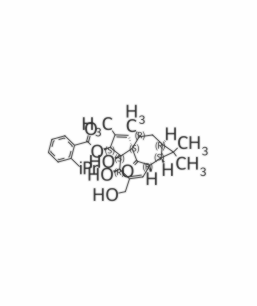 CC1=C[C@]23C(=O)[C@@H](C=C(CO)[C@@H](O)[C@]2(O)[C@H]1OC(=O)c1ccccc1C(C)C)[C@@H]1[C@@H](C[C@H]3C)C1(C)C